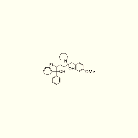 CCC(CCC(O)(Cc1ccc(OC)cc1)N1CCCCC1)C(O)(c1ccccc1)c1ccccc1